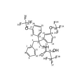 O=C(NCC(Cc1ccccc1)(c1cccc(OC(F)(F)F)c1)c1cccc(OC(F)(F)F)c1)C(O)C(F)(F)F